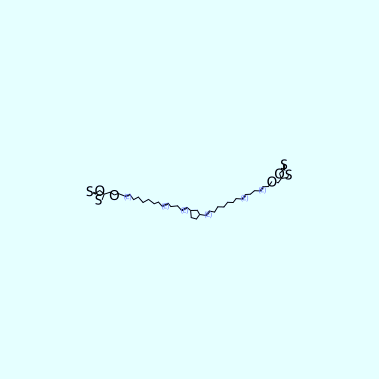 S=C1OC(COC/C=C/CC/C=C/CCCCCC/C=C/C2CCC(/C=C/CC/C=C/CCCCCC/C=C/COCC3CSC(=S)O3)C2)CS1